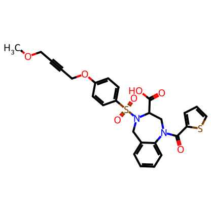 COCC#CCOc1ccc(S(=O)(=O)N2Cc3ccccc3N(C(=O)c3cccs3)CC2C(=O)O)cc1